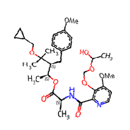 COc1ccc(C[C@@H]([C@H](C)OC(=O)[C@H](C)NC(=O)c2nccc(OC)c2OCOC(C)O)C(C)(C)OCC2CC2)cc1